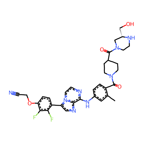 Cc1cc(Nc2nccn3c(-c4ccc(OCC#N)c(F)c4F)cnc23)ccc1C(=O)N1CCC(C(=O)N2CCN[C@@H](CO)C2)CC1